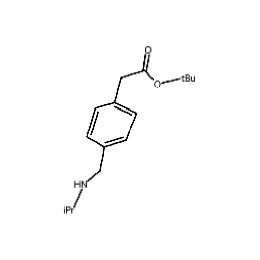 CC(C)NCc1ccc(CC(=O)OC(C)(C)C)cc1